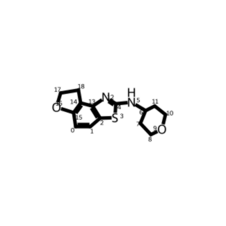 c1cc2sc(NC3CCOCC3)nc2c2c1OCC2